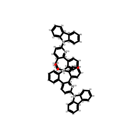 c1ccc2c(c1)-c1ccc(-n3c4ccccc4c4ccccc43)nc1-c1ccccc1[Si]21c2ccccc2-c2ccc(-n3c4ccccc4c4ccccc43)nc2-c2ccccc21